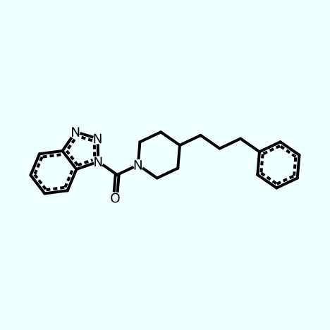 O=C(N1CCC(CCCc2ccccc2)CC1)n1nnc2ccccc21